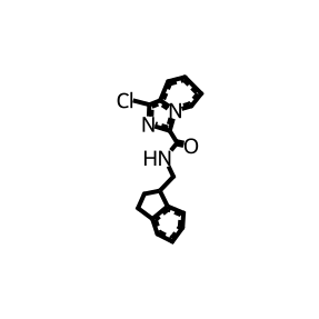 O=C(NCC1CCc2ccccc21)c1nc(Cl)c2ccccn12